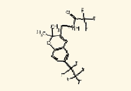 CC1(C)Oc2ccc(C(F)(F)C(F)(F)F)cc2C=C1CNC(=O)C(F)(F)F